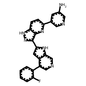 Nc1cncc(-c2ccc3[nH]nc(-c4cc5c(-c6ccccc6F)cncc5[nH]4)c3n2)c1